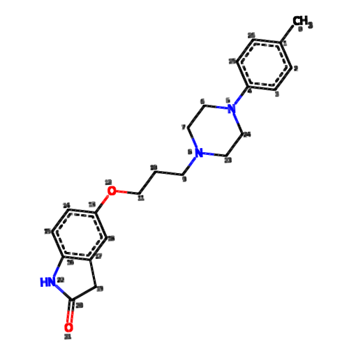 Cc1ccc(N2CCN(CCCOc3ccc4c(c3)CC(=O)N4)CC2)cc1